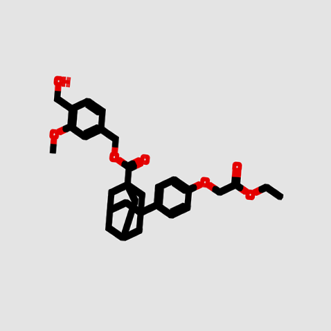 CCOC(=O)COc1ccc(C23CC4CC(CC(C(=O)OCc5ccc(CO)c(OC)c5)(C4)C2)C3)cc1